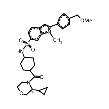 COCc1ccc(-c2cc3ccc(S(=O)(=O)NC4CCC(C(=O)N5CCOC[C@@H]5C5CC5)CC4)cc3n2C)cc1